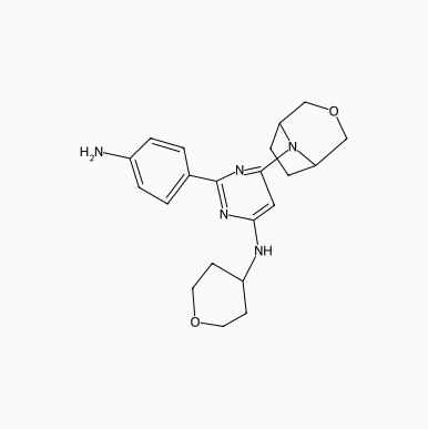 Nc1ccc(-c2nc(NC3CCOCC3)cc(N3C4CCC3COC4)n2)cc1